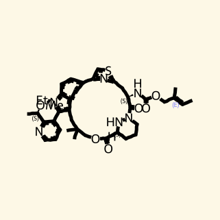 C/C=C(\C)COC(=O)N[C@H]1Cc2nc(cs2)-c2ccc3c(c2)c(c(-c2cccnc2[C@H](C)OC)n3CC)CC(C)(C)COC(=O)[C@@H]2CCCN(N2)C1=O